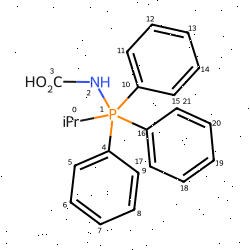 CC(C)P(NC(=O)O)(c1ccccc1)(c1ccccc1)c1ccccc1